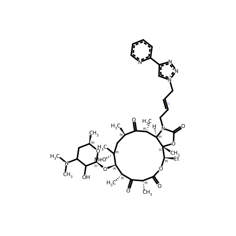 CC[C@H]1OC(=O)[C@H](C)C(=O)[C@H](C)[C@@H](O[C@@H]2O[C@H](C)CC(N(C)C)C2O)[C@](C)(OC)C[C@@H](C)C(=O)[C@H](C)[C@H]2N(C/C=C/Cn3cc(-c4ccccn4)nn3)C(=O)O[C@]12C